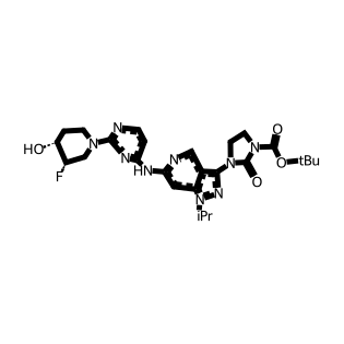 CC(C)n1nc(N2CCN(C(=O)OC(C)(C)C)C2=O)c2cnc(Nc3ccnc(N4CC[C@@H](O)[C@@H](F)C4)n3)cc21